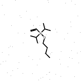 C=C[Si](OCCCC)(C(C)C)C(C)C